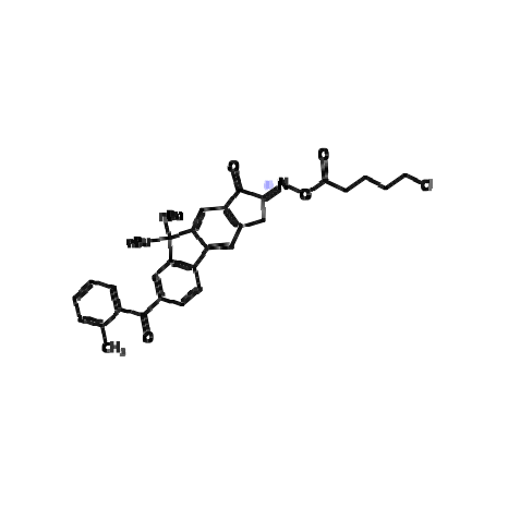 CCCCC1(CCCC)c2cc(C(=O)c3ccccc3C)ccc2-c2cc3c(cc21)C(=O)/C(=N/OC(=O)CCCCCl)C3